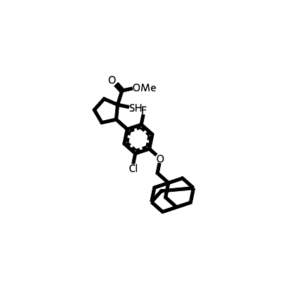 COC(=O)C1(S)CCCC1c1cc(Cl)c(OCC23CC4CC(CC(C4)C2)C3)cc1F